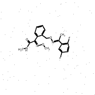 CNC(=O)/C(=N/OC)c1ccccc1CO/N=C(\C)c1cc(F)ccc1F